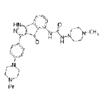 CC(C)N1CCN(c2ccc(-c3n[nH]c4c3C(=O)c3c(NC(=O)NN5CCN(C)CC5)cccc3-4)cc2)CC1